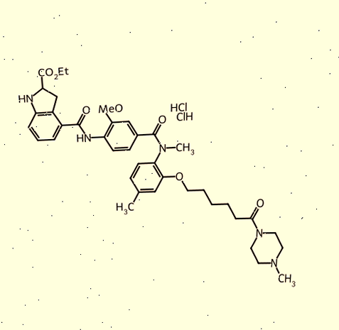 CCOC(=O)C1Cc2c(cccc2C(=O)Nc2ccc(C(=O)N(C)c3ccc(C)cc3OCCCCCC(=O)N3CCN(C)CC3)cc2OC)N1.Cl.Cl